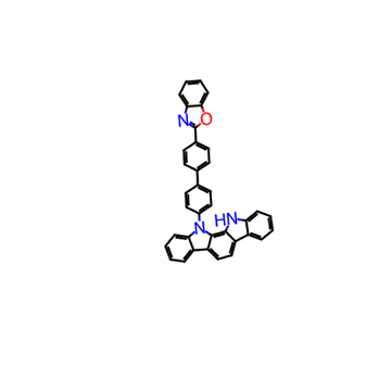 c1ccc2oc(-c3ccc(-c4ccc(-n5c6ccccc6c6ccc7c8ccccc8[nH]c7c65)cc4)cc3)nc2c1